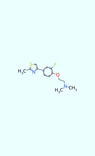 Cc1nc(-c2ccc(OCCN(C)C)c(F)c2)cs1